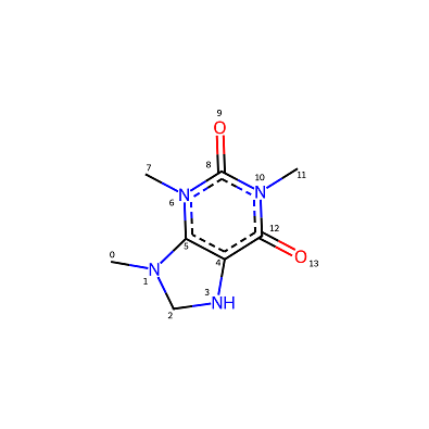 CN1CNc2c1n(C)c(=O)n(C)c2=O